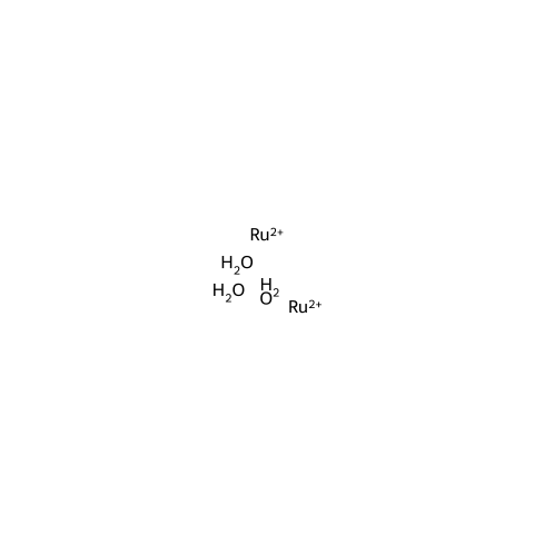 O.O.O.[Ru+2].[Ru+2]